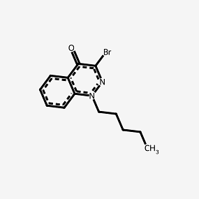 CCCCCn1nc(Br)c(=O)c2ccccc21